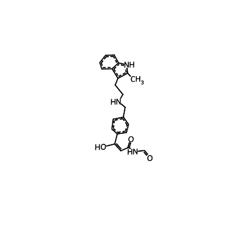 Cc1[nH]c2ccccc2c1CCNCc1ccc(/C(O)=C\C(=O)NC=O)cc1